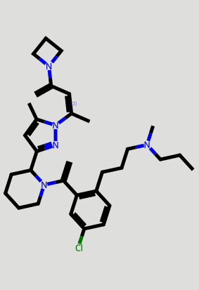 C=C(/C=C(/C)n1nc(C2CCCCN2C(=C)c2cc(Cl)ccc2CCCN(C)CCC)cc1C)N1CCC1